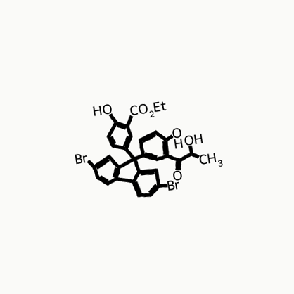 CCOC(=O)c1cc(C2(c3ccc(O)c(C(=O)C(C)O)c3)c3cc(Br)ccc3-c3ccc(Br)cc32)ccc1O